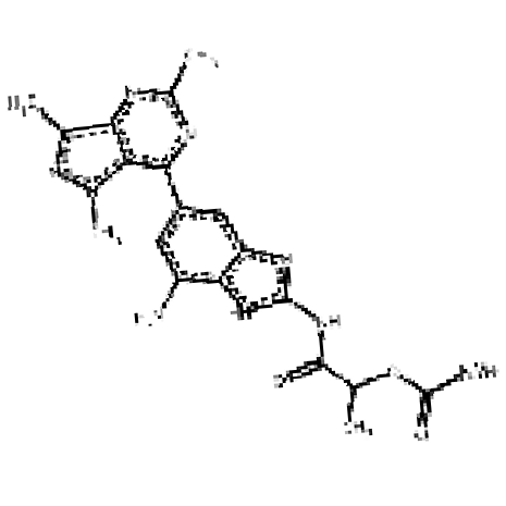 CNC(=O)OC(C)C(=O)Nc1nc2cc(-c3nc(C)nc4c(C)nn(C)c34)cc(N)c2[nH]1